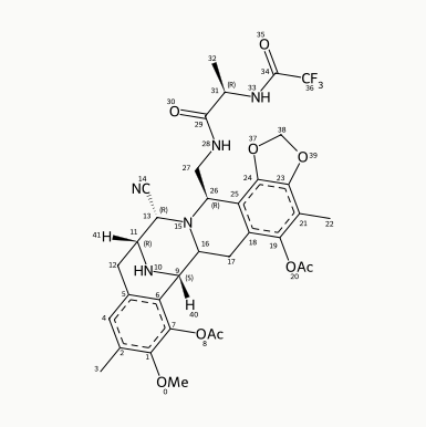 COc1c(C)cc2c(c1OC(C)=O)[C@@H]1N[C@H](C2)[C@H](C#N)N2C1Cc1c(OC(C)=O)c(C)c3c(c1[C@@H]2CNC(=O)[C@@H](C)NC(=O)C(F)(F)F)OCO3